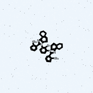 CC(C)(C)c1ccccc1-c1nc2c3c(ccc2n1-c1cccc(-n2c(-c4ccccc4C(C)(C)C)nc4c5c(ccc42)CCCC5)c1Br)CCCC3